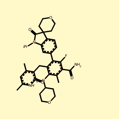 CCN(c1c(C)c(C(N)=O)c(F)c(-c2ccc3c(c2)N(C(C)C)C(=O)C32CCOCC2)c1Cc1c(C)cc(C)[nH]c1=O)C1CCOCC1